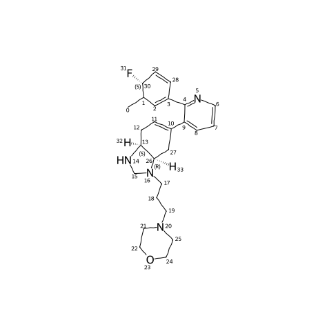 CC1C=C(c2ncccc2C2=CC[C@@H]3NCN(CCCN4CCOCC4)[C@@H]3C2)C=C[C@H]1F